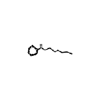 CCCCCCCNc1cc[c]cc1